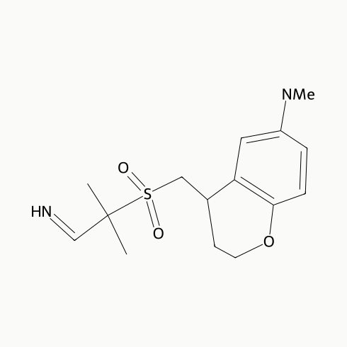 CNc1ccc2c(c1)C(CS(=O)(=O)C(C)(C)C=N)CCO2